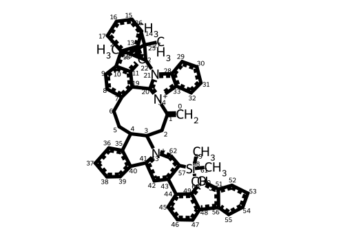 C=C1CC2C(CCc3ccc4c(oc5ccccc54)c3-c3n(C4=C(C)C4(C)C)c4ccccc4[n+]31)c1ccccc1-c1cc(-c3cccc4c3oc3ccccc34)c([Si](C)(C)C)c[n+]12